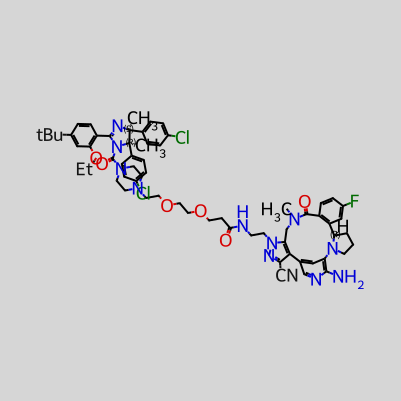 CCOc1cc(C(C)(C)C)ccc1C1=N[C@@](C)(c2ccc(Cl)cc2)[C@@](C)(c2ccc(Cl)cc2)N1C(=O)N1CCN(CCOCCOCCC(=O)NCCn2nc(C#N)c3c2CN(C)C(=O)c2ccc(F)cc2[C@H]2CCCN2c2cc-3cnc2N)CC1